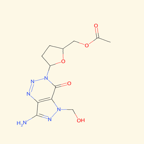 CC(=O)OCC1CCC(n2nnc3c(N)nn(CO)c3c2=O)O1